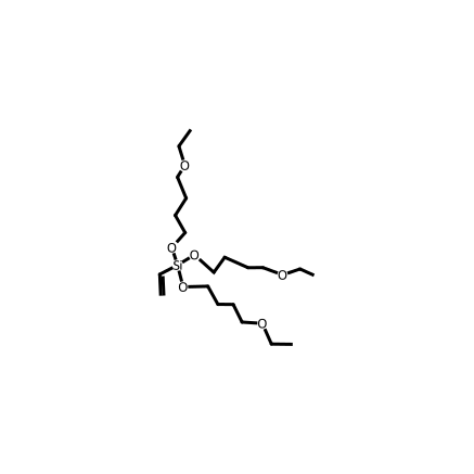 C=C[Si](OCCCCOCC)(OCCCCOCC)OCCCCOCC